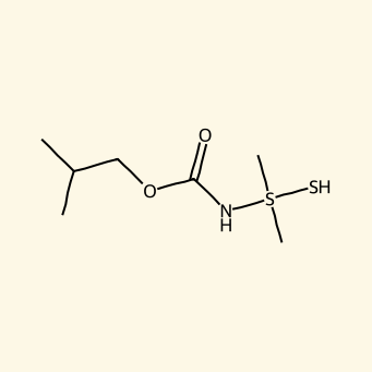 CC(C)COC(=O)NS(C)(C)S